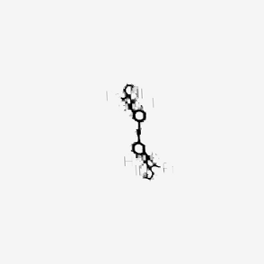 CC(C)C(=O)C1(c2nc3cc(C#Cc4ccc5[nH]c(C6(C(=O)C(C)C)CCCN6)nc5c4)ccc3[nH]2)CCCN1